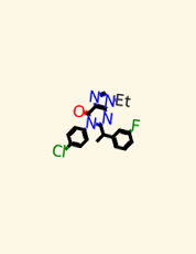 CCn1cnc2c(=O)n(-c3ccc(Cl)cc3)c(C(C)c3cccc(F)c3)nc21